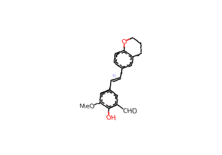 COc1cc(/C=C/c2ccc3c(c2)CCCO3)cc(C=O)c1O